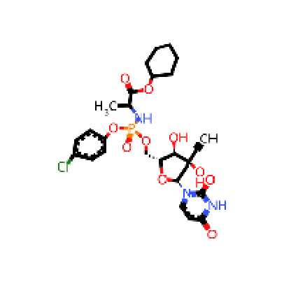 C#C[C@@]1(O)[C@H](O)[C@@H](COP(=O)(NC(C)C(=O)OC2CCCCC2)Oc2ccc(Cl)cc2)O[C@H]1n1ccc(=O)[nH]c1=O